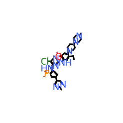 CCc1cc(Nc2ncc(Cl)c(Nc3ccc(-c4cnc(C)nc4)cc3P(C)C)n2)c(OC)cc1N1CCC(N2CCN(C)CC2)CC1